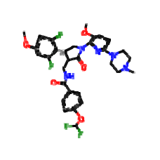 COc1cc(F)c([C@@H]2CN(c3nc(N4CCN(C)CC4)ccc3OC)C(=O)C2CNC(=O)c2ccc(OC(F)F)cc2)c(F)c1